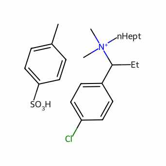 CCCCCCC[N+](C)(C)C(CC)c1ccc(Cl)cc1.Cc1ccc(S(=O)(=O)O)cc1